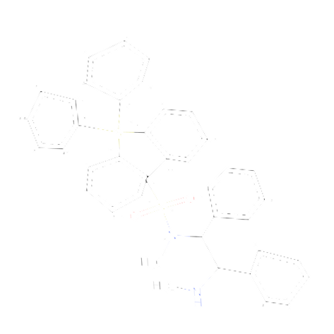 CNC(c1ccccc1)C(c1ccccc1)N(C)S(=O)(=O)Cc1ccccc1S(c1ccccc1)(c1ccccc1)c1ccccc1